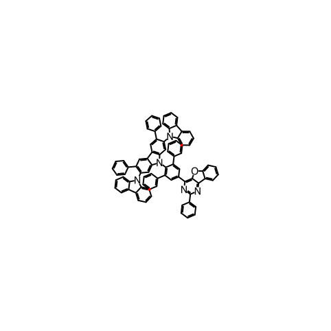 c1ccc(-c2nc(-c3cc(-c4ccccc4)c(-n4c5cc(-n6c7ccccc7c7ccccc76)c(-c6ccccc6)cc5c5cc(-c6ccccc6)c(-n6c7ccccc7c7ccccc76)cc54)c(-c4ccccc4)c3)c3oc4ccccc4c3n2)cc1